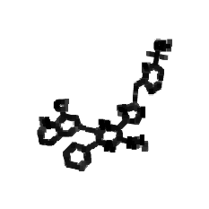 CC(C)(O)c1cccc(Cc2ncc(-c3nc(-c4cc(Cl)c5ncccc5c4)c(-c4ccccc4)nc3N)s2)n1